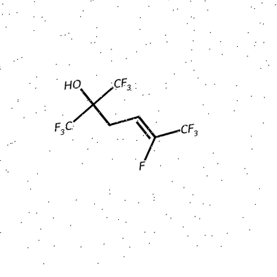 OC(C/C=C(\F)C(F)(F)F)(C(F)(F)F)C(F)(F)F